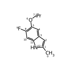 Cc1cc2cc(OC(C)C)c(F)cc2[nH]1